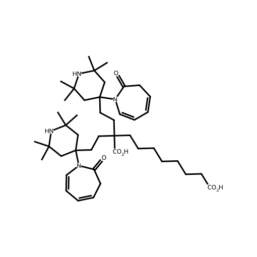 CC1(C)CC(CCC(CCCCCCCC(=O)O)(CCC2(N3C=CC=CCC3=O)CC(C)(C)NC(C)(C)C2)C(=O)O)(N2C=CC=CCC2=O)CC(C)(C)N1